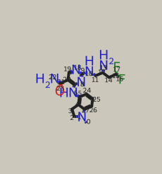 CN1CCc2c(Nc3nc(NCC(N)CC(F)F)ncc3C(N)=O)cccc21